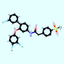 CCS(=O)(=O)c1ccc(CC(=O)Nc2ccc(-c3cccc(F)c3)c(Oc3ccc(F)c(F)c3)c2)cc1